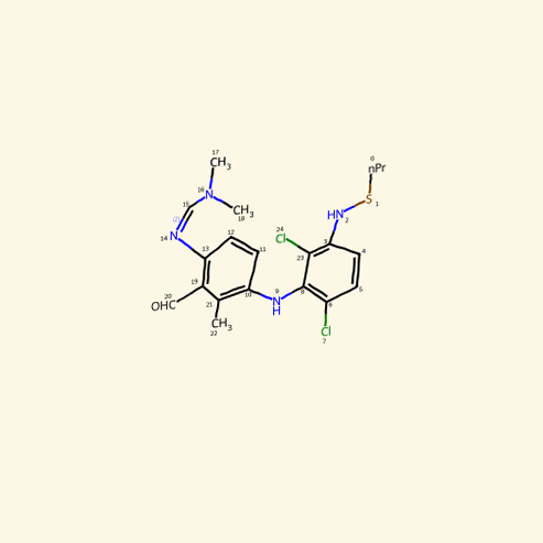 CCCSNc1ccc(Cl)c(Nc2ccc(/N=C\N(C)C)c(C=O)c2C)c1Cl